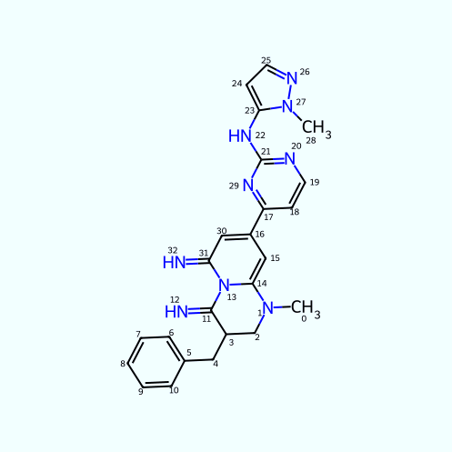 CN1CC(Cc2ccccc2)C(=N)n2c1cc(-c1ccnc(Nc3ccnn3C)n1)cc2=N